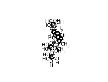 CC[C@@]12CCC([C@H](C)C(O)C[C@@H](O[C@@H]3O[C@H](CO[C@@H]4O[C@H](CO)[C@@H](O)[C@H](O)[C@H]4O)[C@@H](O)[C@H](O)[C@H]3O)C(C)(C)O)[C@@]1(C)C[C@@H](O)[C@@]1(C)[C@@H]3CC[C@H](O[C@@H]4O[C@H](CO)[C@@H](O)[C@H](O)[C@H]4O)[C@H](C)C3=CC[C@H]12